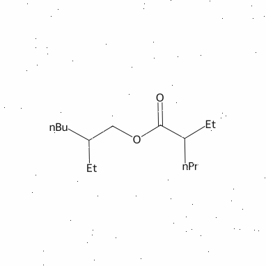 CCCCC(CC)COC(=O)C(CC)CCC